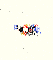 CC(C)(C)[Si](C)(C)OC1C2COP(=O)(S)O[C@H]3C[C@H](Oc4ccncn4)C[C@@H]3COP(=O)(S)O[C@H]1[C@H](n1cnc3c(=O)[nH]c(N)nc31)O2